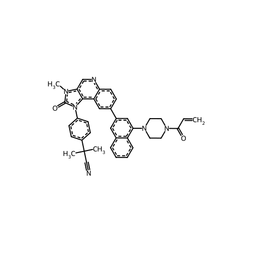 C=CC(=O)N1CCN(c2cc(-c3ccc4ncc5c(c4c3)n(-c3ccc(C(C)(C)C#N)cc3)c(=O)n5C)cc3ccccc23)CC1